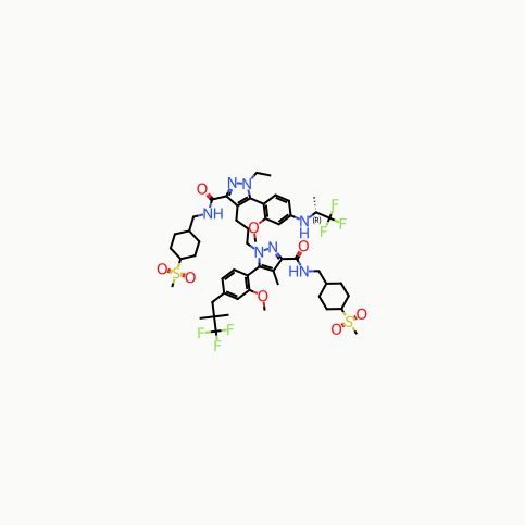 CCn1nc(C(=O)NCC2CCC(S(C)(=O)=O)CC2)c(CCCn2nc(C(=O)NCC3CCC(S(C)(=O)=O)CC3)c(C)c2-c2ccc(CC(C)(C)C(F)(F)F)cc2OC)c1-c1ccc(N[C@H](C)C(F)(F)F)cc1OC